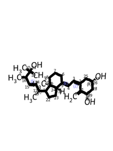 C=C1/C(=C\C=C2/CCC[C@]3(C)C([C@H](C)/C=C/C(C)C(C)(C)O)CC[C@@H]23)C[C@@H](O)C[C@@H]1O